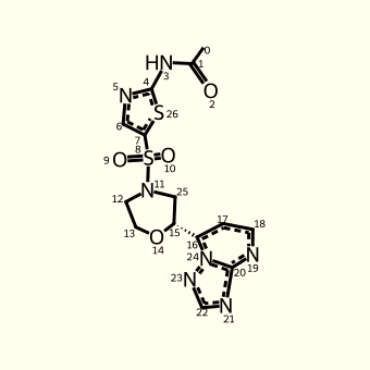 CC(=O)Nc1ncc(S(=O)(=O)N2CCO[C@@H](c3ccnc4ncnn34)C2)s1